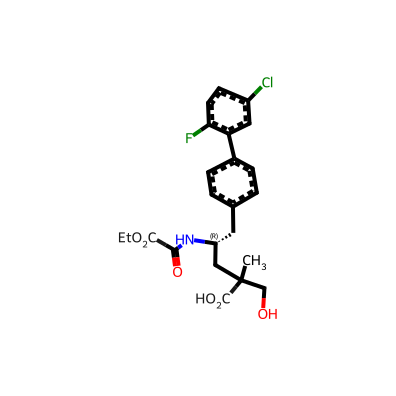 CCOC(=O)C(=O)N[C@H](Cc1ccc(-c2cc(Cl)ccc2F)cc1)CC(C)(CO)C(=O)O